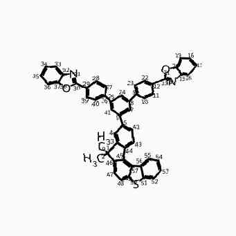 CC1(C)c2cc(-c3cc(-c4ccc(-c5nc6ccccc6o5)cc4)cc(-c4ccc(-c5nc6ccccc6o5)cc4)c3)ccc2-c2c1ccc1sc3ccccc3c21